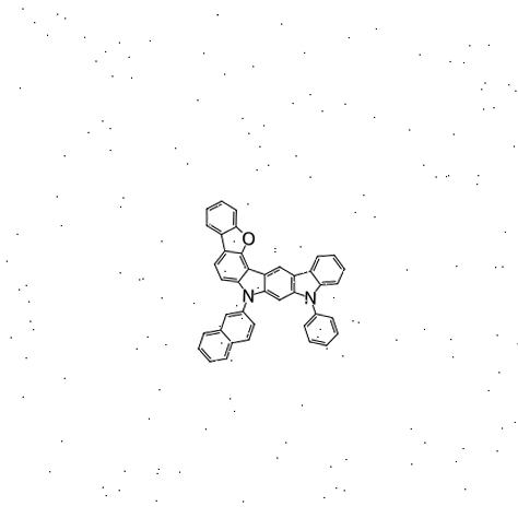 c1ccc(-n2c3ccccc3c3cc4c5c6oc7ccccc7c6ccc5n(-c5ccc6ccccc6c5)c4cc32)cc1